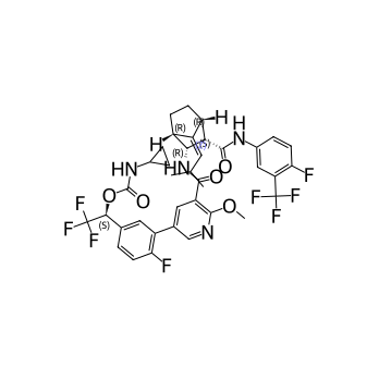 COc1ncc(-c2cc([C@H](OC(=O)NC3CC3)C(F)(F)F)ccc2F)cc1C(=O)N[C@H]1[C@@H](C(=O)Nc2ccc(F)c(C(F)(F)F)c2)[C@H]2CC[C@@H]1/C2=C\C(C)C